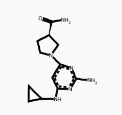 NC(=O)[C@@H]1CCN(c2cc(NC3CC3)nc(N)n2)C1